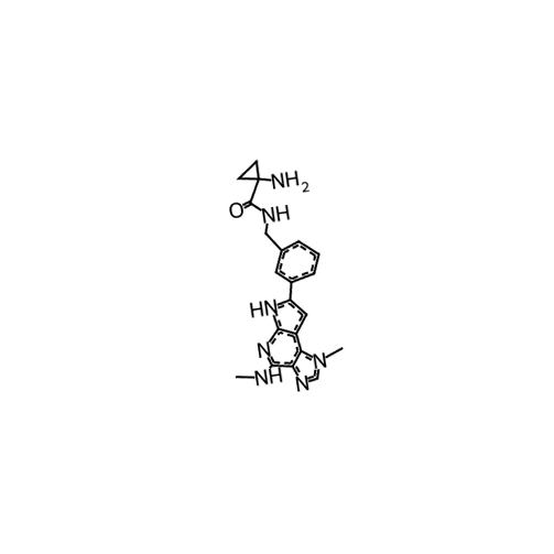 CNc1nc2[nH]c(-c3cccc(CNC(=O)C4(N)CC4)c3)cc2c2c1ncn2C